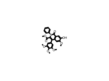 COC(=O)c1c(-c2cc(OC)c(OC)c(OC)c2)c2cc(OC)c(O)cc2c(=O)n1-c1ccccc1